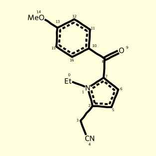 CCn1c(CC#N)ccc1C(=O)c1ccc(OC)cc1